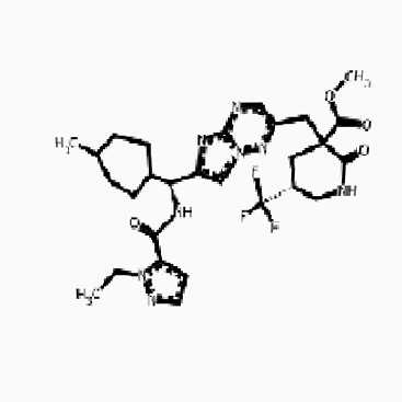 CCn1nccc1C(=O)N[C@H](c1cn2nc(CC3(C(=O)OC)C[C@@H](C(F)(F)F)CNC3=O)cnc2n1)C1CCC(C)CC1